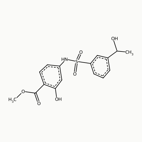 COC(=O)c1ccc(NS(=O)(=O)c2cccc(C(C)O)c2)cc1O